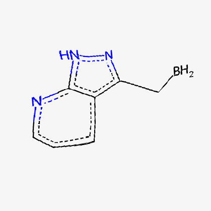 BCc1n[nH]c2ncccc12